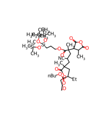 CCCCOC(=O)C(CC)CC(C)(CC(C#N)CC(C)(C(=O)OCCC[Si](O[Si](C)(C)C)(O[Si](C)(C)C)O[Si](C)(C)C)C1C(=O)OC(=O)C1C)C(=O)OCC1CO1